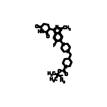 Cn1nc(C2CCC(=O)NC2=O)c2cc(F)c(N3CCN(CC4CCN(C(=O)OC(C)(C)C)CC4)CC3)cc21